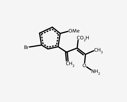 C=C(/C(C(=O)O)=C(/C)ON)c1cc(Br)ccc1OC